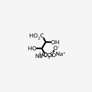 O=C([O-])C(O)C(O)C(=O)O.O=S(=O)([O-])O.[Na+].[Na+]